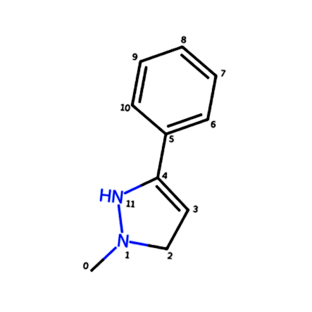 CN1CC=C(c2ccccc2)N1